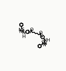 O=C(CCCCCC(=O)N1CCC(Nc2nnc(-c3ccccc3)s2)CC1)N1CCC(Nc2nnc(-c3ccccc3)s2)CC1